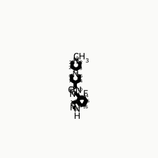 CN1CCC(N2CCC(c3nc(-c4c(F)ccc5[nH]ncc45)no3)CC2)CC1